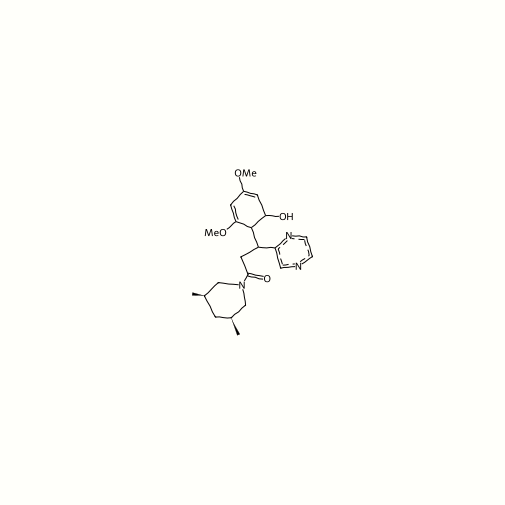 COC1=CC(O)C(C(CC(=O)N2C[C@H](C)C[C@H](C)C2)c2cnccn2)C(OC)=C1